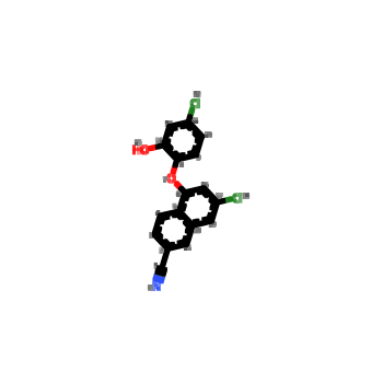 N#Cc1ccc2c(Oc3ccc(Cl)cc3O)cc(Cl)cc2c1